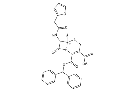 O=C(Cc1ccco1)NC1C(=O)N2C(C(=O)OC(c3ccccc3)c3ccccc3)=C(C(=O)O)CS[C@H]12